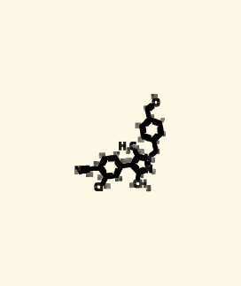 Cc1nn(Cc2ccc([C]=O)cc2)c(C)c1-c1ccc(C#N)c(Cl)c1